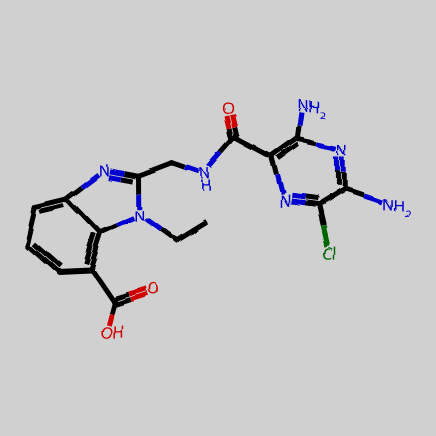 CCn1c(CNC(=O)c2nc(Cl)c(N)nc2N)nc2cccc(C(=O)O)c21